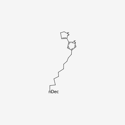 CCCCCCCCCCCCCCCCCCCCc1csc(C2=CCCS2)c1